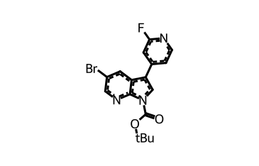 CC(C)(C)OC(=O)n1cc(-c2ccnc(F)c2)c2cc(Br)cnc21